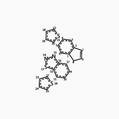 C1=Cc2ccccc2C1.c1ccc2snnc2c1.c1ccsc1.c1ccsc1